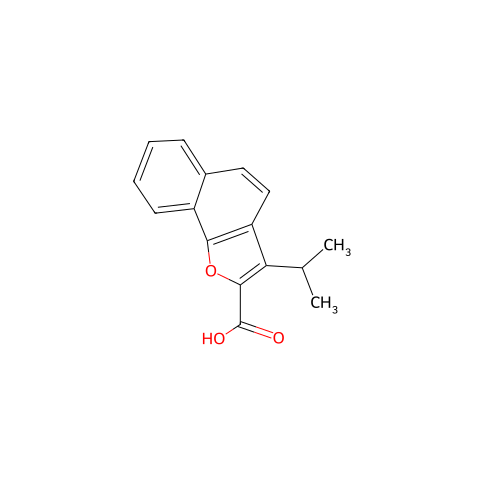 CC(C)c1c(C(=O)O)oc2c1ccc1ccccc12